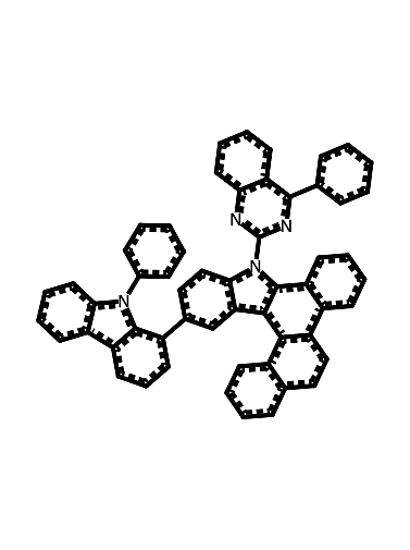 c1ccc(-c2nc(-n3c4ccc(-c5cccc6c7ccccc7n(-c7ccccc7)c56)cc4c4c5c6ccccc6ccc5c5ccccc5c43)nc3ccccc23)cc1